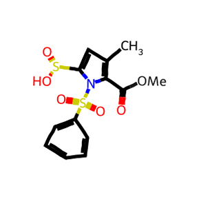 COC(=O)c1c(C)cc(S(=O)O)n1S(=O)(=O)c1ccccc1